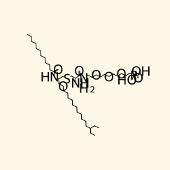 CCCCCCCCCCCC(=O)N[C@H](COCCCCCCCCCCCC(CC)CC)CSC[C@H](N)C(=O)NCCOCCOCCOCCP(=O)(O)O